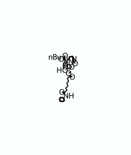 CCCCOC(=O)Nc1ccnc(=O)n1[C@@H]1O[C@H](COC(=O)CCCCCCC(=O)Nc2ccccc2)[C@@H](O)C1(F)F